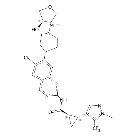 Cn1ncc([C@@H]2C[C@H]2C(=O)Nc2cc3cc(C4CCN([C@]5(C)COC[C@@H]5O)CC4)c(Cl)cc3cn2)c1C(F)(F)F